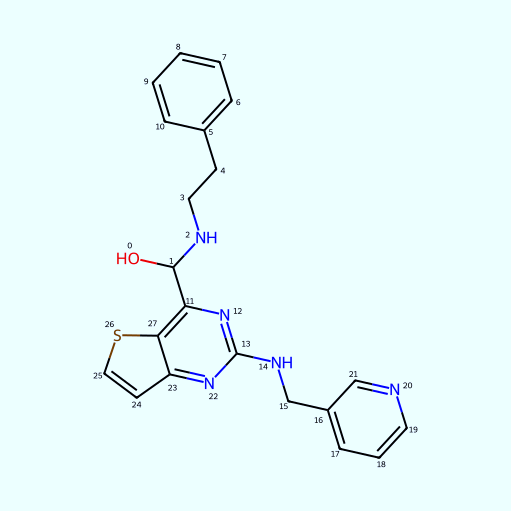 OC(NCCc1ccccc1)c1nc(NCc2cccnc2)nc2ccsc12